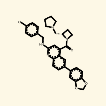 O=C(c1cc(NCc2ccc(Cl)cc2)nc2ccc(-c3ccc4c(c3)OCO4)cc12)N1CC[C@H]1CN1CCCC1